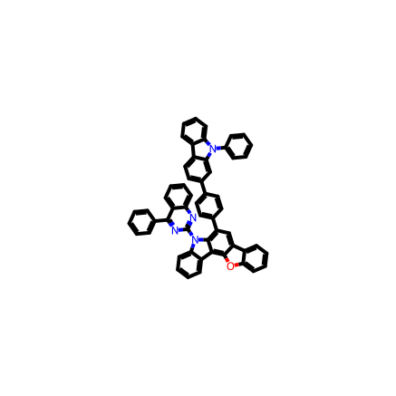 c1ccc(-c2nc(-n3c4ccccc4c4c5oc6ccccc6c5cc(-c5ccc(-c6ccc7c8ccccc8n(-c8ccccc8)c7c6)cc5)c43)nc3ccccc23)cc1